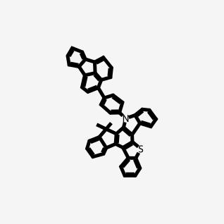 CC1(C)c2ccccc2-c2c1c1c(c3ccccc3n1-c1ccc(-c3ccc4c5c(cccc35)-c3ccccc3-4)cc1)c1sc3ccccc3c21